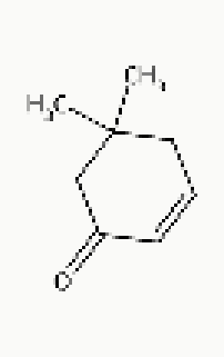 CC1(C)CC=CC(=O)C1